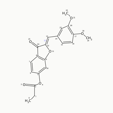 CCC(=O)Oc1ccc2c(c1)O/C(=C\c1ccc(OC)c(OC)c1)C2=O